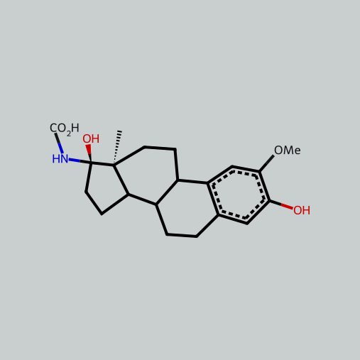 COc1cc2c(cc1O)CCC1C2CC[C@@]2(C)C1CC[C@]2(O)NC(=O)O